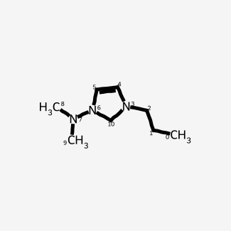 CCCN1C=CN(N(C)C)C1